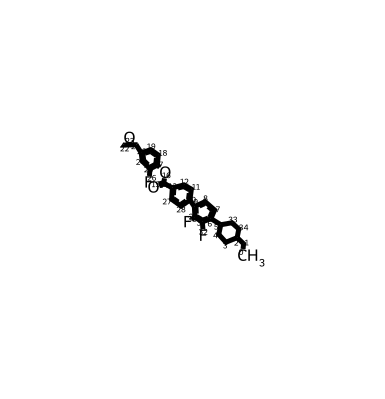 CCC1CCC(c2ccc(-c3ccc(C(=O)Oc4ccc(C5CO5)cc4F)cc3)c(F)c2F)CC1